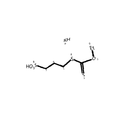 CCOC(=S)SCCCS(=O)(=O)O.[KH]